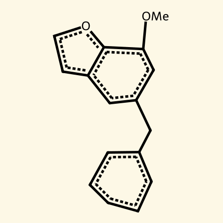 COc1cc(Cc2ccccc2)cc2ccoc12